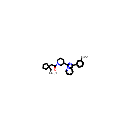 COc1cccc(-c2nc(C3CCCN(C(=O)CC4(CC(=O)O)CCCC4)C3)n3ccccc23)c1